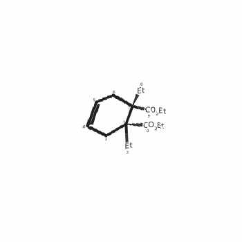 CCOC(=O)[C@@]1(CC)CC=CC[C@]1(CC)C(=O)OCC